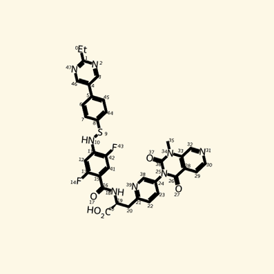 CCc1ncc(-c2ccc(SNc3cc(F)c(C(=O)N[C@@H](Cc4ccc(-n5c(=O)c6ccncc6n(C)c5=O)cn4)C(=O)O)cc3F)cc2)cn1